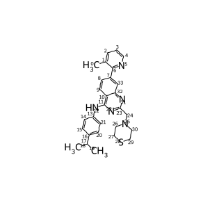 Cc1cccnc1-c1ccc2c(Nc3ccc(C(C)C)cc3)nc(CN3CCSCC3)nc2c1